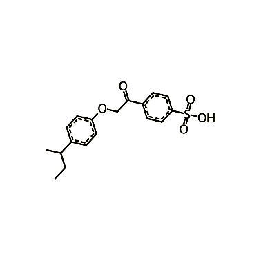 CCC(C)c1ccc(OCC(=O)c2ccc(S(=O)(=O)O)cc2)cc1